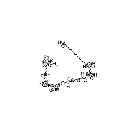 CC[C@H](NC(=O)[C@H](CCCCNC(=O)CC[C@H](NC(=O)CC[C@H](NC(=O)COCCOCCNC(=O)COCCOCCNC(=O)CC[C@H](NC(=O)CC[C@H](NC(=O)CCCCCCCCCCCCCCCCC(=O)O)C(=O)O)C(=O)O)C(=O)O)C(=O)O)NI)C(N)=O